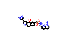 Cn1cc(-c2cnc3ccc4ccc(CS(=O)(=O)NCc5ccc6c(n5)NCCC6)cc4c(=O)c3c2)cn1